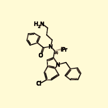 CC(C)[C@H](c1cc2cc(Cl)ccc2n1Cc1ccccc1)N(CCCN)C(=O)c1ccccc1